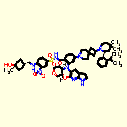 CC(C)c1ccccc1[C@@H]1CC(C)(C)CCN1C1CC2(CCN(c3ccc(C(=O)NS(=O)(=O)c4ccc(NC[C@H]5CC[C@](C)(O)CC5)c([N+](=O)[O-])c4)c(N4c5cc6cc[nH]c6nc5O[C@H]5COCC[C@@H]54)c3)CC2)C1